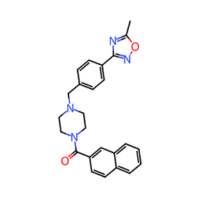 Cc1nc(-c2ccc(CN3CCN(C(=O)c4ccc5ccccc5c4)CC3)cc2)no1